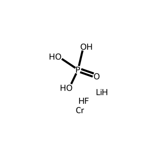 F.O=P(O)(O)O.[Cr].[LiH]